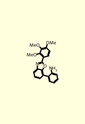 COc1c[c]c(-c2nc3cccc(-c4ccccc4N)c3o2)c(OC)c1OC